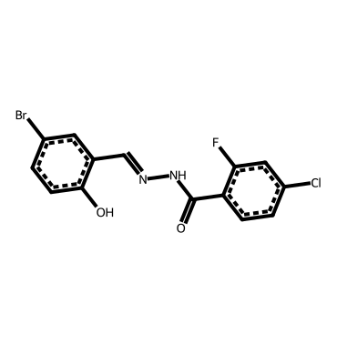 O=C(NN=Cc1cc(Br)ccc1O)c1ccc(Cl)cc1F